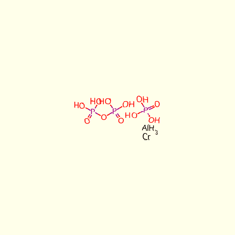 O=P(O)(O)O.O=P(O)(O)OP(=O)(O)O.[AlH3].[Cr]